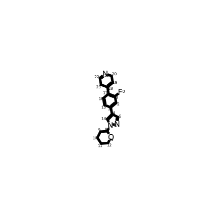 Fc1cc(-c2cnn(C3CCCCO3)c2)ccc1C1=CCN=CC1